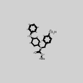 CC(C)(C)OC(=O)N(Cc1ccc(C(=O)O)cc1)C1CCC(Oc2ccccc2)CC1